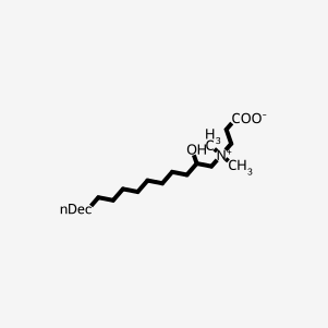 CCCCCCCCCCCCCCCCCCC(O)C[N+](C)(C)CCC(=O)[O-]